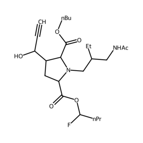 C#CC(O)C1CC(C(=O)OC(F)CCC)N(CC(CC)CNC(C)=O)C1C(=O)OCCCC